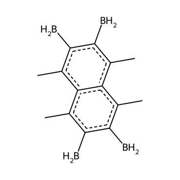 Bc1c(B)c(C)c2c(C)c(B)c(B)c(C)c2c1C